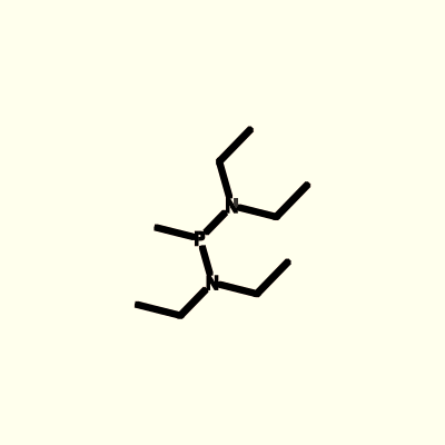 CCN(CC)P(C)N(CC)CC